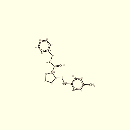 Cc1cnc(NCC2CCCN2C(=O)OCc2ccccc2)nc1